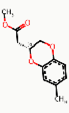 COC(=O)C[C@@H]1COc2ccc(C)cc2O1